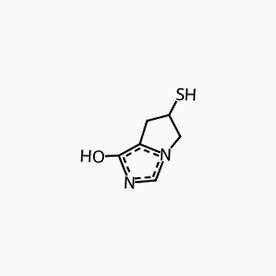 Oc1ncn2c1CC(S)C2